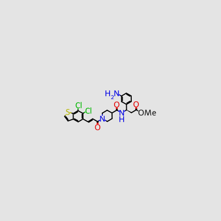 COC(=O)C[C@@H](NC(=O)C1CCN(C(=O)/C=C/c2cc3ccsc3c(Cl)c2Cl)CC1)c1cccc(N)c1